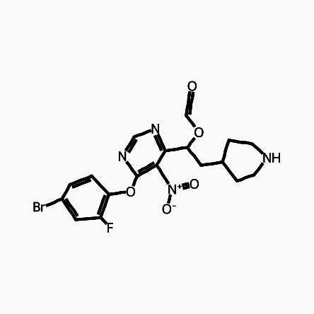 O=COC(CC1CCNCC1)c1ncnc(Oc2ccc(Br)cc2F)c1[N+](=O)[O-]